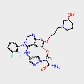 COc1cc2c(cc1OCCCN1CCCC(O)C1)=NCN(c1cccc(F)c1F)C=2Nc1cnn(CC(N)=O)c1